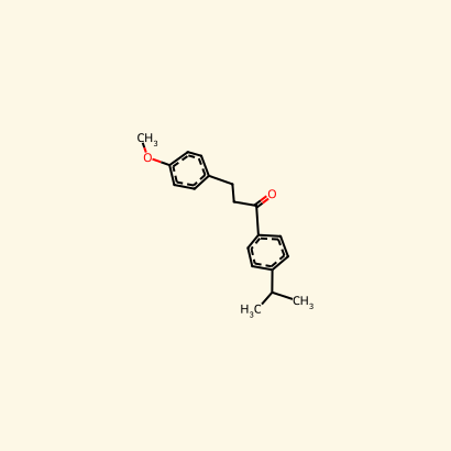 COc1ccc(CCC(=O)c2ccc(C(C)C)cc2)cc1